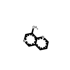 Cc1cncc2cccnc12